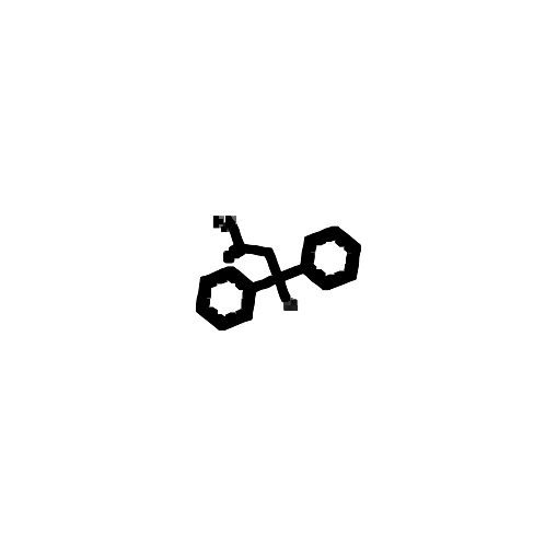 CCC(CC(N)=O)(c1ccccc1)c1ccccc1